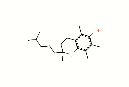 Cc1c(C)c2c(c(C)c1O)CC[C@@](C)(CCCC(C)C)O2